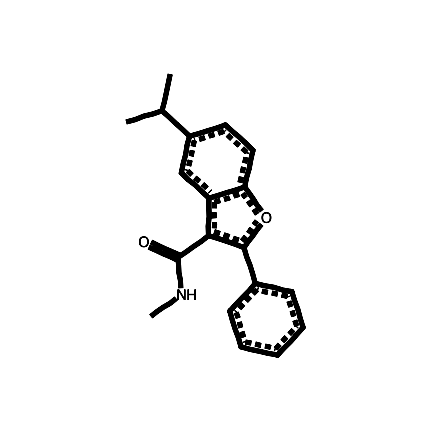 CNC(=O)c1c(-c2ccccc2)oc2ccc(C(C)C)cc12